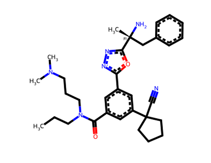 CCCN(CCCN(C)C)C(=O)c1cc(-c2nnc([C@](C)(N)Cc3ccccc3)o2)cc(C2(C#N)CCCC2)c1